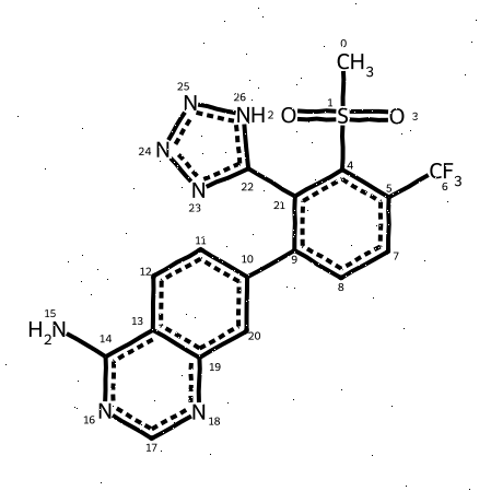 CS(=O)(=O)c1c(C(F)(F)F)ccc(-c2ccc3c(N)ncnc3c2)c1-c1nnn[nH]1